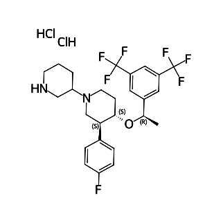 C[C@@H](O[C@H]1CCN(C2CCCNC2)C[C@@H]1c1ccc(F)cc1)c1cc(C(F)(F)F)cc(C(F)(F)F)c1.Cl.Cl